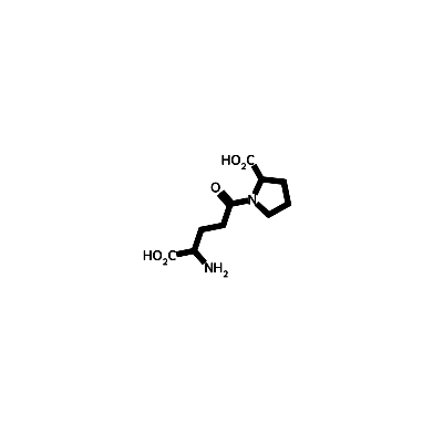 NC(CCC(=O)N1CCCC1C(=O)O)C(=O)O